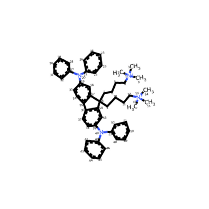 C[N+](C)(C)CCCCC1(CCCC[N+](C)(C)C)c2cc(N(c3ccccc3)c3ccccc3)ccc2-c2ccc(N(c3ccccc3)c3ccccc3)cc21